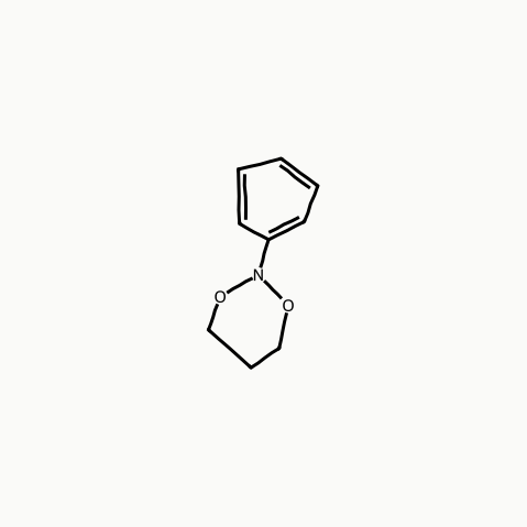 c1ccc(N2OCCCO2)cc1